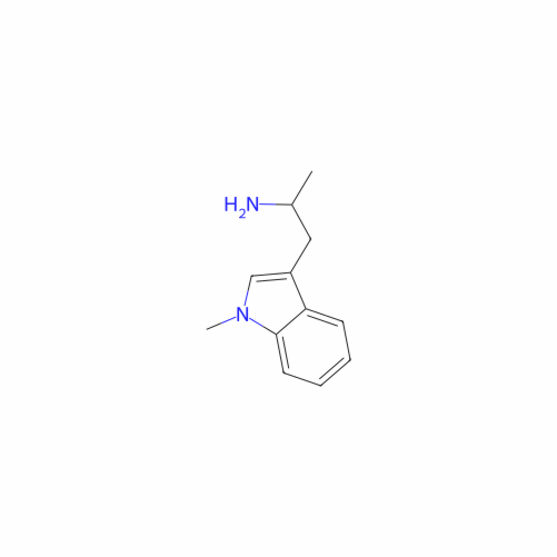 CC(N)Cc1cn(C)c2ccccc12